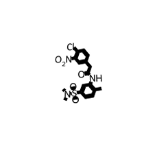 Cc1ccc(S(=O)(=O)N(C)C)cc1NC(=O)Cc1ccc(Cl)c([N+](=O)[O-])c1